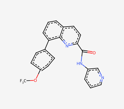 O=C(Nc1cccnc1)c1ccc2cccc(-c3ccc(OC(F)(F)F)cc3)c2n1